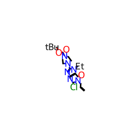 C=CCn1c(Cl)nc2nc(N3CCN(C(=O)OC(C)(C)C)CC3)n(CC)c2c1=O